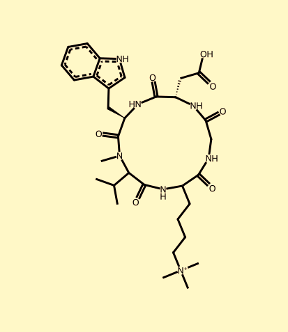 CC(C)C1C(=O)NC(CCCC[N+](C)(C)C)C(=O)NCC(=O)N[C@@H](CC(=O)O)C(=O)N[C@H](Cc2c[nH]c3ccccc23)C(=O)N1C